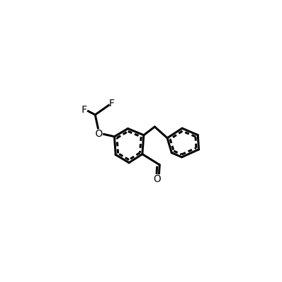 O=Cc1ccc(OC(F)F)cc1Cc1ccccc1